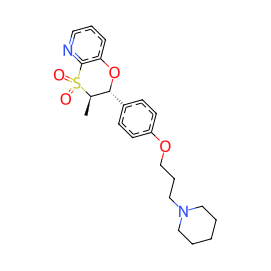 C[C@@H]1[C@@H](c2ccc(OCCCN3CCCCC3)cc2)Oc2cccnc2S1(=O)=O